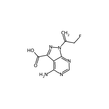 C=C(CF)n1nc(C(=O)O)c2c(N)ncnc21